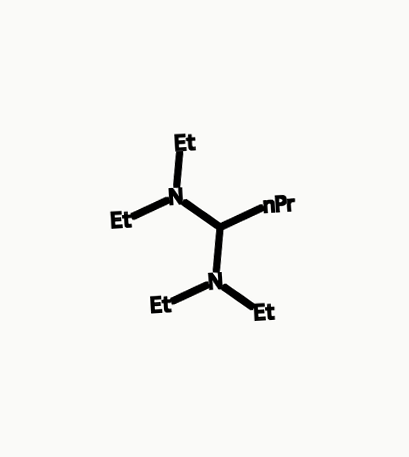 [CH2]CCC(N(CC)CC)N(CC)CC